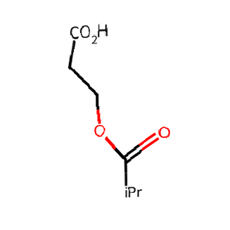 CC(C)C(=O)OCCC(=O)O